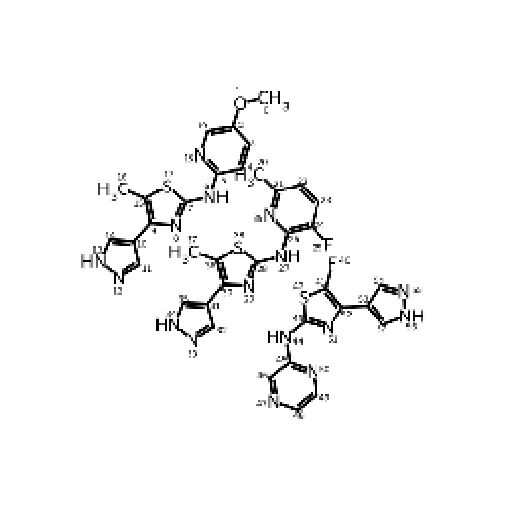 COc1ccc(Nc2nc(-c3cn[nH]c3)c(C)s2)nc1.Cc1ccc(F)c(Nc2nc(-c3cn[nH]c3)c(C)s2)n1.Fc1sc(Nc2cnccn2)nc1-c1cn[nH]c1